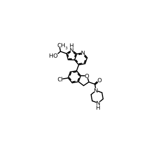 CC(O)c1cc2c(-c3cc(Cl)cc4c3OC(C(=O)N3CCNCC3)C4)ccnc2[nH]1